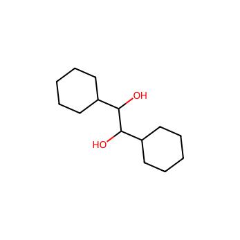 OC(C1CCCCC1)C(O)C1CCCCC1